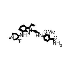 C=Cc1c2cccc(N[C@@H]3CCN(C)C[C@@H]3F)c2nn1C#CCNc1ccc(C(N)=O)cc1OC